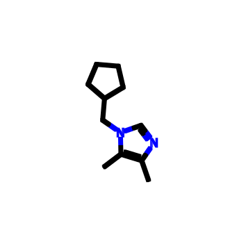 Cc1ncn(CC2CCCC2)c1C